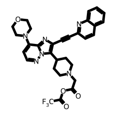 O=C(CN1CCC(c2c(C#Cc3ccc4ccccc4n3)nc3c(N4CCOCC4)ccnn23)CC1)OC(=O)C(F)(F)F